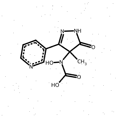 CC1(N(O)C(=O)O)C(=O)NN=C1c1cccnc1